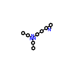 c1ccc(-c2ccc(-c3nc(-c4ccc(-c5ccccc5)cc4)nc(-c4ccc(-c5ccc(-c6ccc7c(c6)ncc6ccccc67)cc5)cc4)n3)cc2)cc1